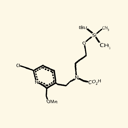 COc1nc(Cl)ccc1CN(CCO[Si](C)(C)C(C)(C)C)C(=O)O